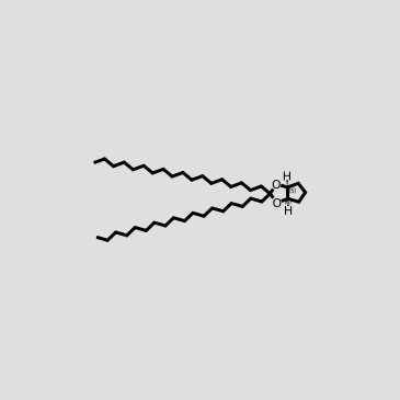 CCCCCCCCCCCCCCCCCCC1(CCCCCCCCCCCCCCCCCC)O[C@H]2CCC[C@H]2O1